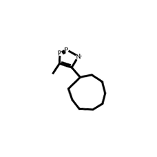 CC1=C(C2CCCCCCCC2)[N]P=P1